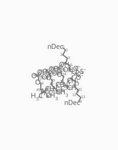 CCCCCCCCCCCCCCCCS(CCCCCCCCCCCCCCCC)=P([O-])([O-])[S-].C[N+](C)(C)CCOP(=O)(O)O.C[N+](C)(C)CCOP(=O)(O)O.C[N+](C)(C)CCOP(=O)(O)O